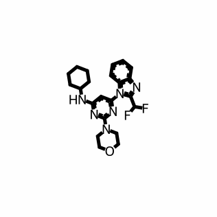 FC(F)c1nc2ccccc2n1-c1cc(NC2CCCCC2)nc(N2CCOCC2)n1